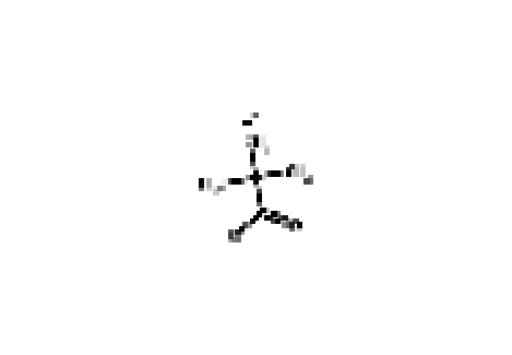 CC(C)(C)C(=O)[O-].[Li+]